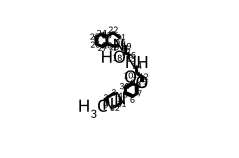 CN1CCN(c2cccc(OC(C=O)CNC[C@@H](O)CN3CCc4ccccc4C3)c2)CC1